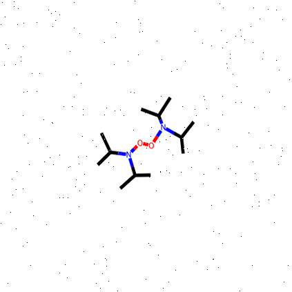 CC(C)N(OON(C(C)C)C(C)C)C(C)C